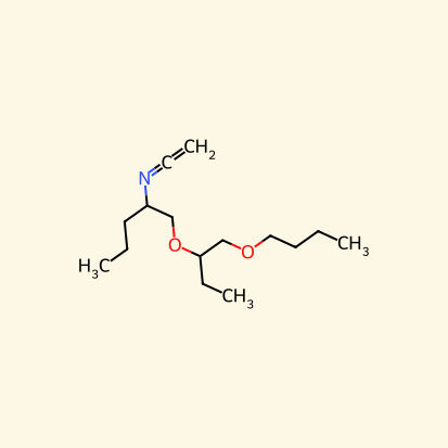 C=C=NC(CCC)COC(CC)COCCCC